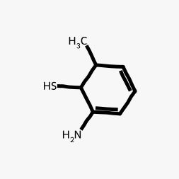 CC1C=CC=C(N)C1S